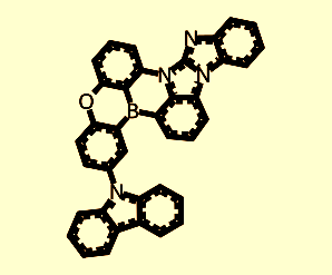 c1cc2c3c(c1)-n1c4c(cccc4n4c5ccccc5nc14)B3c1cc(-n3c4ccccc4c4ccccc43)ccc1O2